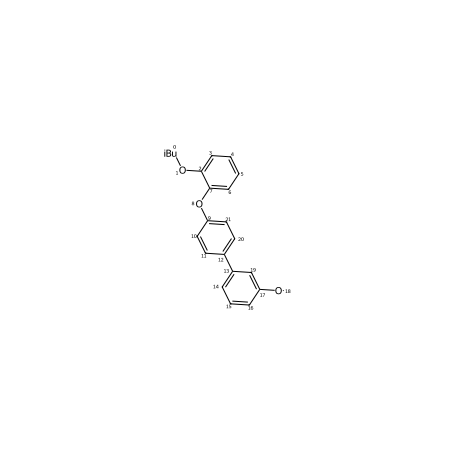 CCC(C)Oc1ccccc1Oc1ccc(-c2cccc([O])c2)cc1